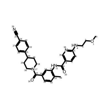 COCCNc1ccc(C(=O)Nc2cc(C(=O)N3CCC(c4ccc(C#N)cc4)CC3)ccc2C)cn1